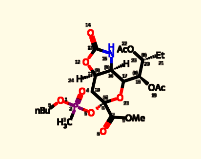 CCCCOP(C)(=O)O[C@]1(C(=O)OC)C[C@H]2OC(=O)N[C@H]2C([C@H](OC(C)=O)[C@@H](CC)OC(C)=O)O1